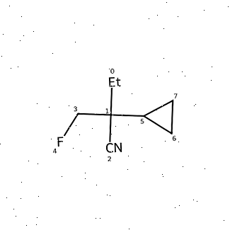 CCC(C#N)(CF)C1CC1